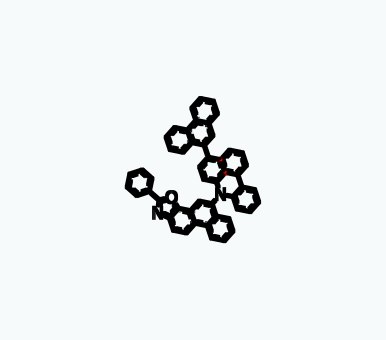 c1ccc(-c2nc3ccc4c5ccccc5c(N(c5ccc(-c6cc7ccccc7c7ccccc67)cc5)c5ccccc5-c5ccccc5)cc4c3o2)cc1